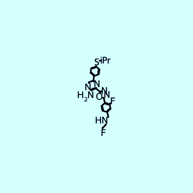 CC(C)Sc1ccc(-c2cnc(N)c(-c3nnc(-c4ccc(CNCCF)cc4F)o3)n2)cc1